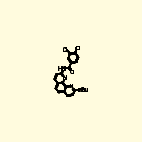 CCCCc1ccc2ccc3ccc(NC(=O)c4ccc(Cl)c(Cl)c4)nc3c2n1